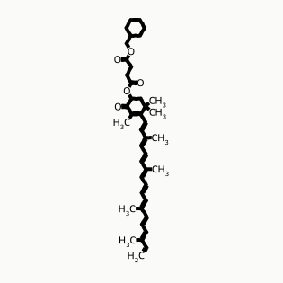 C=C/C(C)=C/C=C/C(C)=C/C=C/C=C(C)/C=C/C=C(C)/C=C/C1=C(C)C(=O)C(OC(=O)CCC(=O)OCC2CCCCC2)CC1(C)C